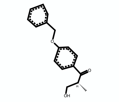 C[C@H](CO)C(=O)c1ccc(OCc2ccccc2)cc1